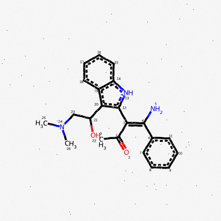 CC(=O)C(=C(N)c1ccccc1)c1[nH]c2ccccc2c1C(O)CN(C)C